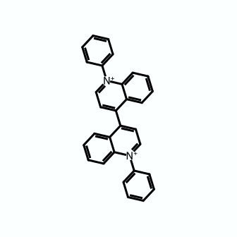 c1ccc(-[n+]2ccc(-c3cc[n+](-c4ccccc4)c4ccccc34)c3ccccc32)cc1